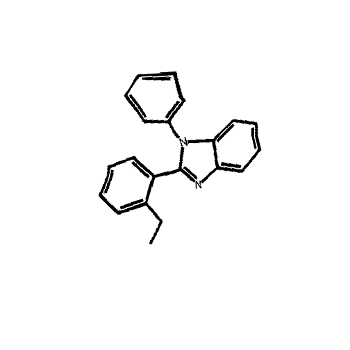 CCc1ccccc1-c1nc2ccccc2n1-c1ccccc1